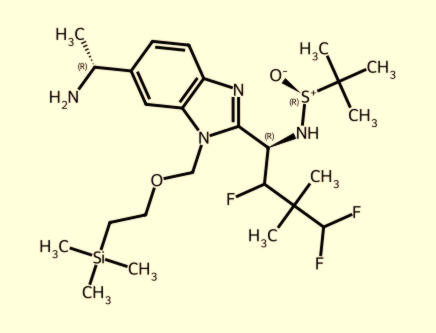 C[C@@H](N)c1ccc2nc([C@@H](N[S@@+]([O-])C(C)(C)C)C(F)C(C)(C)C(F)F)n(COCC[Si](C)(C)C)c2c1